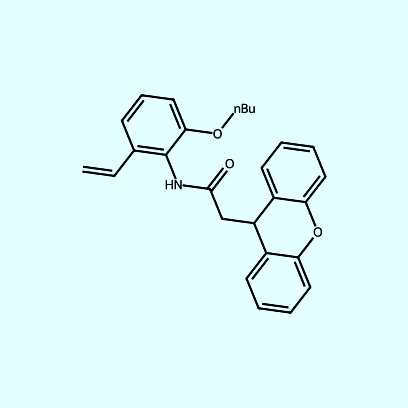 C=Cc1cccc(OCCCC)c1NC(=O)CC1c2ccccc2Oc2ccccc21